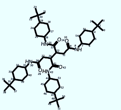 CC(C)(C)C1CCC(NC(=O)CC(C(=O)NC2CCC(C(C)(C)C)CC2)C(CC(=O)NC2CCC(C(C)(C)C)CC2)C(=O)NC2CCC(C(C)(C)C)CC2)CC1